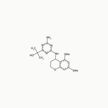 CSc1cc2c(c(SC)c1)C(Nc1nc(N)nc(C(C)(C)O)n1)CCO2